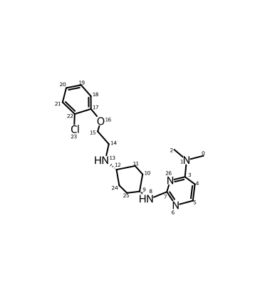 CN(C)c1ccnc(N[C@H]2CC[C@@H](NCCOc3ccccc3Cl)CC2)n1